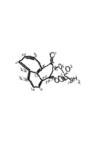 BS(=O)(=O)ON1C(=O)c2cccc3cccc(c23)C1=O